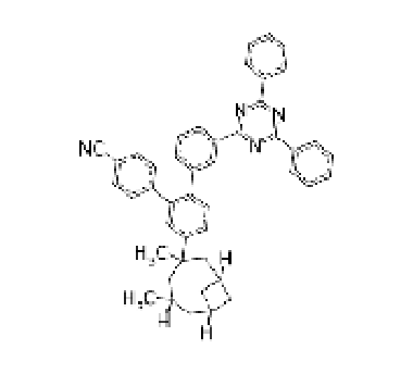 C[C@@H]1CC(C)(c2ccc(-c3cccc(-c4nc(-c5ccccc5)nc(-c5ccccc5)n4)c3)c(-c3ccc(C#N)cc3)c2)C[C@H]2C[C@@H](C1)C2